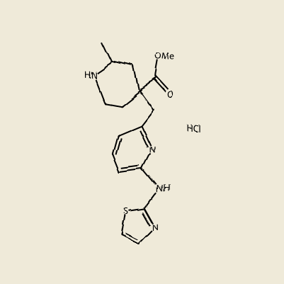 COC(=O)C1(Cc2cccc(Nc3nccs3)n2)CCNC(C)C1.Cl